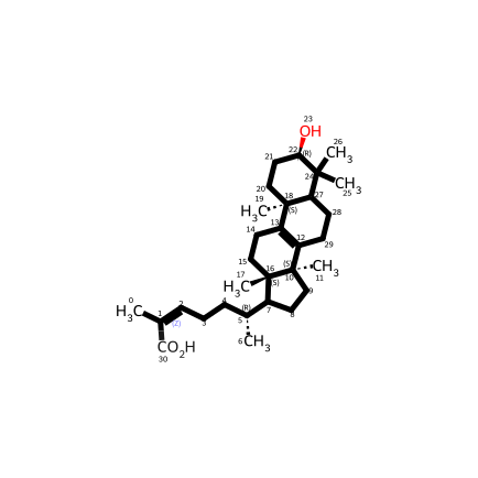 C/C(=C/CC[C@@H](C)C1CC[C@]2(C)C3=C(CC[C@@]12C)[C@@]1(C)CC[C@@H](O)C(C)(C)C1CC3)C(=O)O